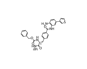 CCCNC(=O)[C@H](Cc1ccc(C(=O)Nc2cc(-c3ccsc3)ccc2N)cc1)NC(=O)OCc1ccccc1